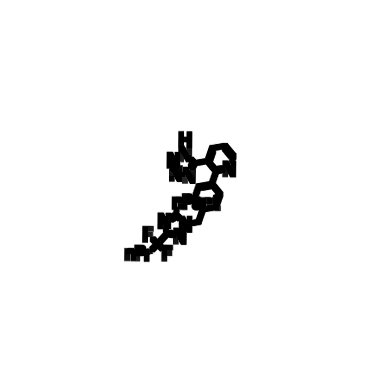 CCCCCc1nc(C(F)(F)CCC)nn1Cc1ccc(-c2ncccc2-c2nnn[nH]2)cc1